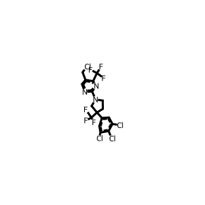 FC(F)(F)c1nc(N2CCC(c3cc(Cl)c(Cl)c(Cl)c3)(C(F)(F)F)C2)ncc1CCl